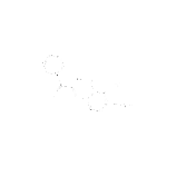 COc1cc(O)c(C=CC(=O)c2ccccc2)c(OC)c1OC